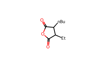 CCCCC1C(=O)OC(=O)C1CC